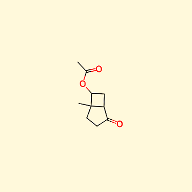 CC(=O)OC1CC2C(=O)CCC12C